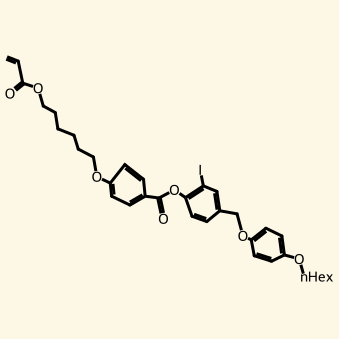 C=CC(=O)OCCCCCCOc1ccc(C(=O)Oc2ccc(COc3ccc(OCCCCCC)cc3)cc2I)cc1